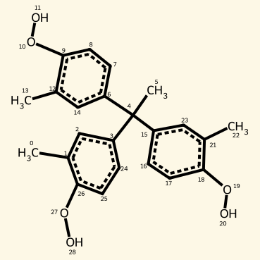 Cc1cc(C(C)(c2ccc(OO)c(C)c2)c2ccc(OO)c(C)c2)ccc1OO